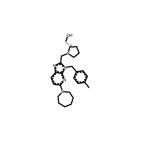 Cc1ccc(Cn2c(CN3CCC[C@H]3CO)nc3ccc(N4CCCCCC4)nc32)cc1